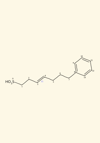 O=S(=O)(O)CC/C=C/CCCc1ccccc1